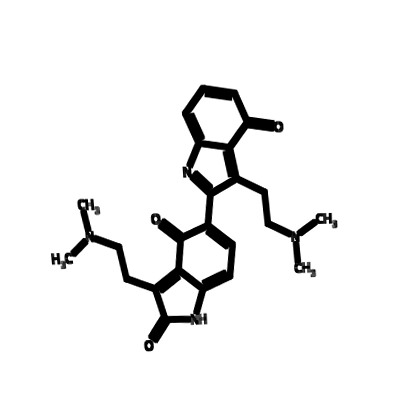 CN(C)CCC1=C2C(=O)C=CC=C2N=C1C1=CC=C2NC(=O)C(CCN(C)C)=C2C1=O